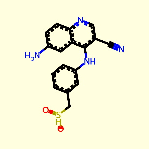 N#Cc1cnc2ccc(N)cc2c1Nc1cccc(C[SH](=O)=O)c1